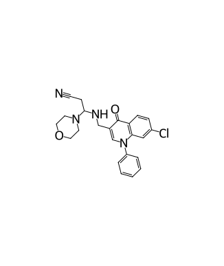 N#CCC(NCc1cn(-c2ccccc2)c2cc(Cl)ccc2c1=O)N1CCOCC1